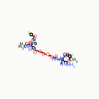 CN[C@@H](C)C(=O)N[C@H](C(=O)N1CCC[C@H]1C1=NC(C(=O)c2ccc(F)cc2)CS1)C1CCN(C(=O)CCOCCOCCOCCOCCC(=O)NCCn2nc3c(c2C#N)-c2cnc(N)c(c2)O[C@H](C)c2cc(F)ccc2C(=O)N(C)C3)CC1